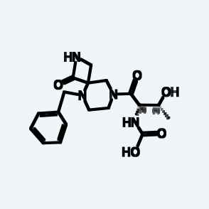 C[C@@H](O)[C@H](NC(=O)O)C(=O)N1CCN(Cc2ccccc2)C2(CNC2=O)C1